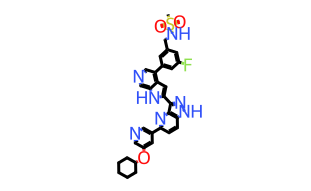 CS(=O)(=O)NCc1cc(F)cc(-c2cncc3[nH]c(-c4n[nH]c5ccc(-c6cncc(OC7CCCCC7)c6)nc45)cc23)c1